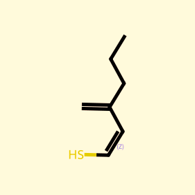 C=C(/C=C\S)CCC